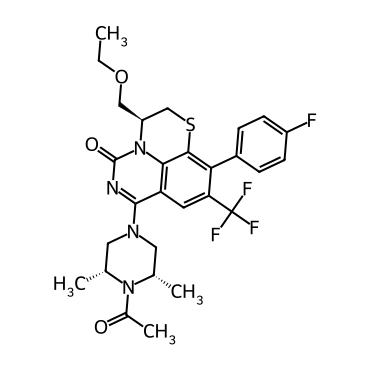 CCOC[C@H]1CSc2c(-c3ccc(F)cc3)c(C(F)(F)F)cc3c(N4C[C@@H](C)N(C(C)=O)[C@@H](C)C4)nc(=O)n1c23